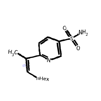 CCCCCC/C=C(/C)c1ccc(S(N)(=O)=O)cn1